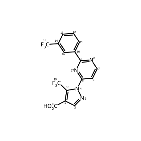 O=C(O)c1cnn(-c2ccnc(-c3cccc(C(F)(F)F)c3)n2)c1C(F)(F)F